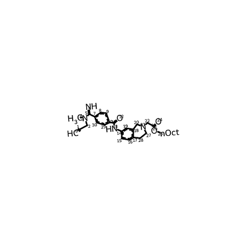 C#CCN(C)C(=N)c1ccc(C(=O)Nc2ccc3c(c2)CN(CC(=O)OCCCCCCCC)CC3)cc1